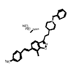 CNC.Cc1c(C=Cc2ccc(C#N)cc2)ccc2c(CCC3CCN(Cc4ccccc4)CC3)noc12.Cl.Cl